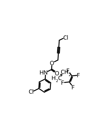 C=C.FC(F)=C(F)F.O=C(Nc1cccc(Cl)c1)OCC#CCCl